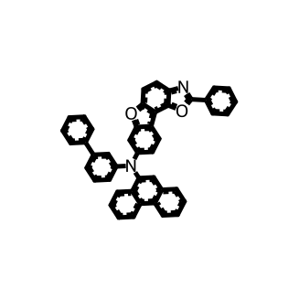 c1ccc(-c2cccc(N(c3ccc4c(c3)oc3ccc5nc(-c6ccccc6)oc5c34)c3cc4ccccc4c4ccccc34)c2)cc1